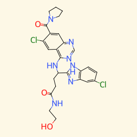 O=C(CCC(Nc1ncnc2cc(C(=O)N3CCCC3)c(Cl)cc12)c1nc2cc(Cl)ccc2[nH]1)NCCO